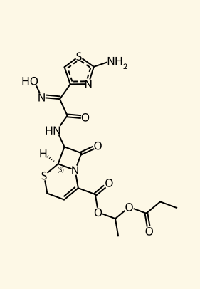 CCC(=O)OC(C)OC(=O)C1=CCS[C@H]2C(NC(=O)C(=NO)c3csc(N)n3)C(=O)N12